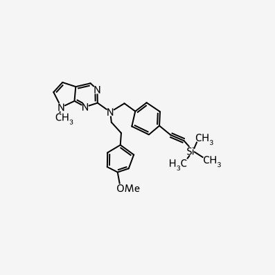 COc1ccc(CCN(Cc2ccc(C#C[Si](C)(C)C)cc2)c2ncc3ccn(C)c3n2)cc1